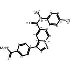 CNC(=O)c1ccc(-c2cnn3ccc(C(=O)N(c4ccc(C#N)cn4)C(C)(C)C)cc23)cc1